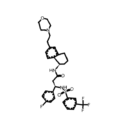 O=C(C[C@@H](NS(=O)(=O)c1cccc(C(F)(F)F)c1)c1ccc(F)cc1)N[C@@H]1CCCc2cc(CCN3CCOCC3)ccc21